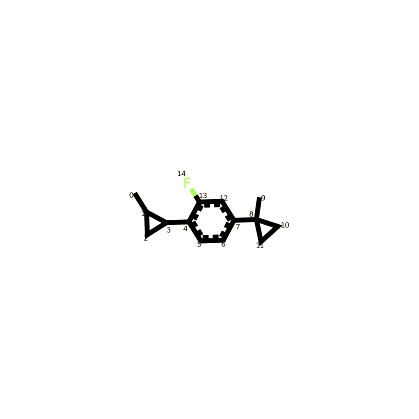 CC1CC1c1ccc(C2(C)CC2)cc1F